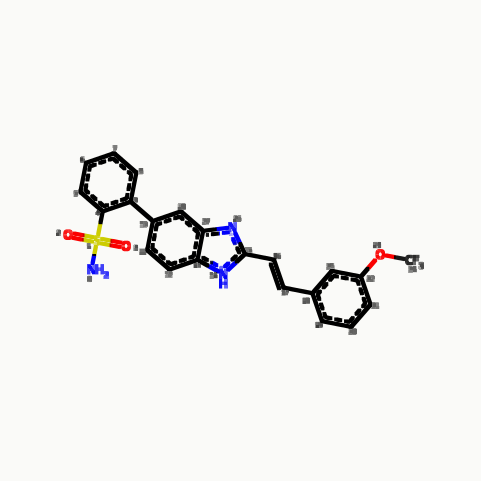 NS(=O)(=O)c1ccccc1-c1ccc2[nH]c(C=Cc3cccc(OC(F)(F)F)c3)nc2c1